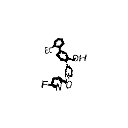 CCc1ccccc1-c1ccc([C@@H]2CCN(C(=O)c3ccc(F)cn3)C2)c(CO)c1